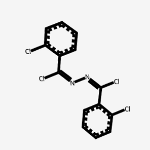 Cl/C(=N/N=C(/Cl)c1ccccc1Cl)c1ccccc1Cl